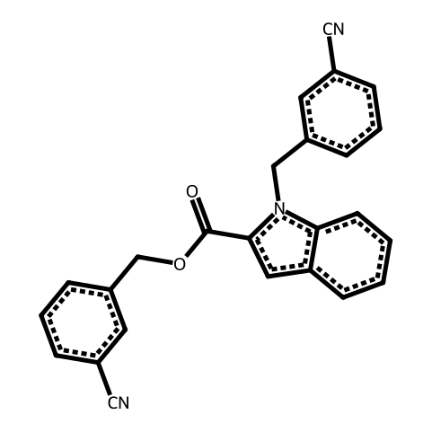 N#Cc1cccc(COC(=O)c2cc3ccccc3n2Cc2cccc(C#N)c2)c1